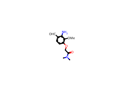 COc1c(OCC(=O)N(C)C)ccc(C=O)c1N